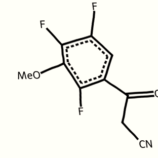 COc1c(F)c(F)cc(C(=O)CC#N)c1F